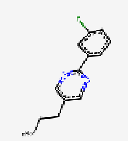 CCCCCCCCCCCc1cnc(-c2cc[c]c(F)c2)nc1